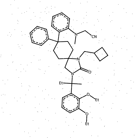 CCOc1cccc(C(C)(CC)N2CC3(CCC(c4ccccc4)(c4ccccc4N(C)CC#N)CC3)N(CC3CCC3)C2=O)c1OCC